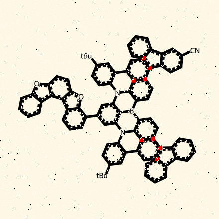 CC(C)(C)c1ccc(N2c3cc(-n4c5ccccc5c5ccccc54)ccc3B3c4ccc(-n5c6ccccc6c6cc(C#N)ccc65)cc4N(c4ccc(C(C)(C)C)cc4-c4ccccc4)c4cc(-c5cccc6c5oc5ccc7oc8ccccc8c7c56)cc2c43)c(-c2ccccc2)c1